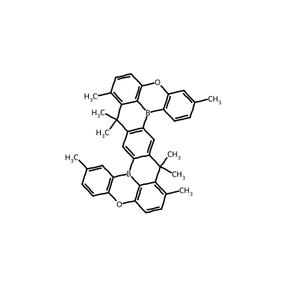 Cc1ccc2c(c1)Oc1ccc(C)c3c1B2c1cc2c(cc1C3(C)C)B1c3cc(C)ccc3Oc3ccc(C)c(c31)C2(C)C